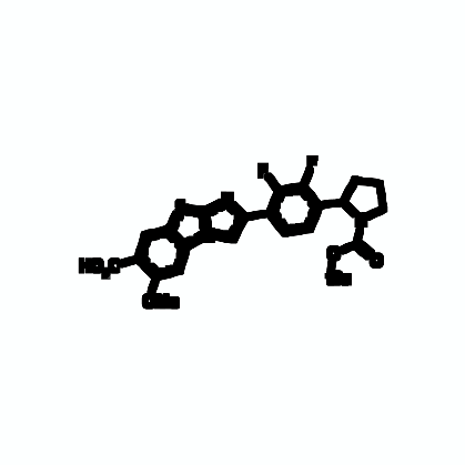 COc1cc2c(cc1C(=O)O)sc1nc(-c3ccc(C4CCCN4C(=O)OC(C)(C)C)c(F)c3F)cn12